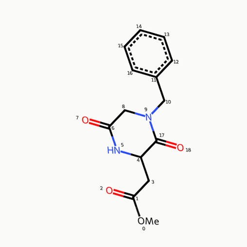 COC(=O)CC1NC(=O)CN(Cc2ccccc2)C1=O